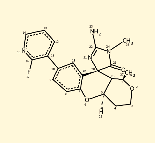 C[C@H]1OCC[C@H]2Oc3ccc(-c4cccnc4F)cc3[C@]3(N=C(N)N(C)C3=O)C12